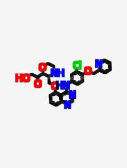 O=C(CO)C1OCCN[C@H]1COc1cccc2ncnc(Nc3ccc(OCc4ccccn4)c(Cl)c3)c12